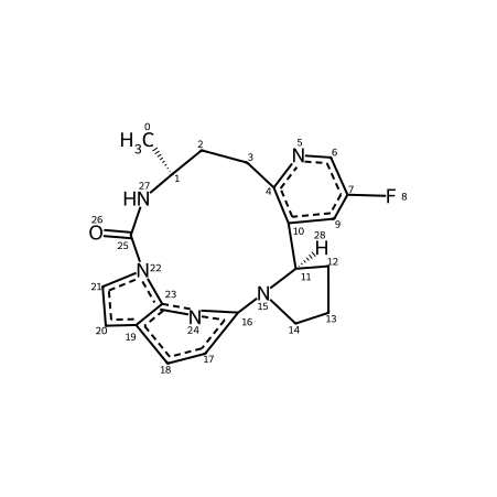 C[C@@H]1CCc2ncc(F)cc2[C@H]2CCCN2c2ccc3ccn(c3n2)C(=O)N1